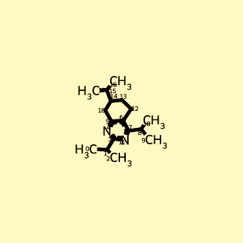 CC(C)c1nc2c(c(C(C)C)n1)CCC(C(C)C)C2